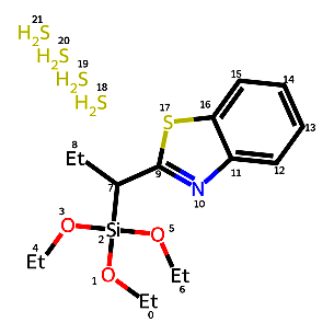 CCO[Si](OCC)(OCC)C(CC)c1nc2ccccc2s1.S.S.S.S